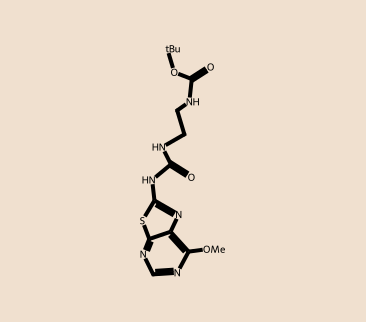 COc1ncnc2sc(NC(=O)NCCNC(=O)OC(C)(C)C)nc12